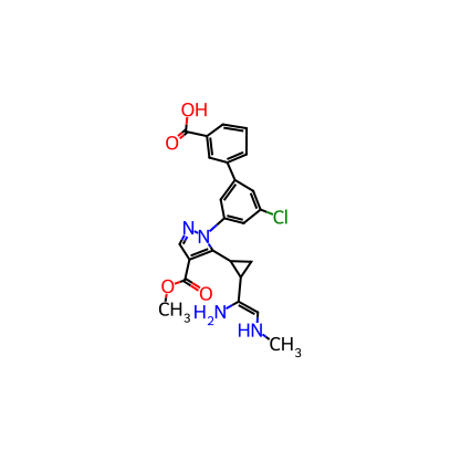 CN/C=C(\N)C1CC1c1c(C(=O)OC)cnn1-c1cc(Cl)cc(-c2cccc(C(=O)O)c2)c1